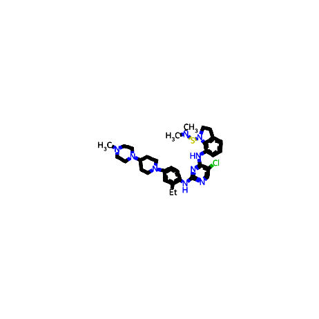 CCc1cc(N2CCC(N3CCN(C)CC3)CC2)ccc1Nc1ncc(Cl)c(Nc2cccc3c2N(SN(C)C)CC3)n1